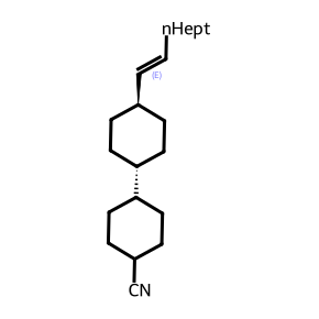 CCCCCCC/C=C/[C@H]1CC[C@H](C2CCC(C#N)CC2)CC1